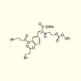 CCCOC(=O)OCCN[C@@H](Cc1ccc(OC(=O)CCC(C)C)c(OC(=O)CCC(C)C)c1)C(=O)OC